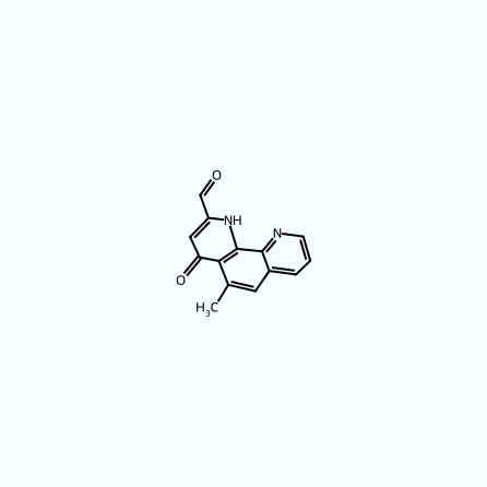 Cc1cc2cccnc2c2[nH]c(C=O)cc(=O)c12